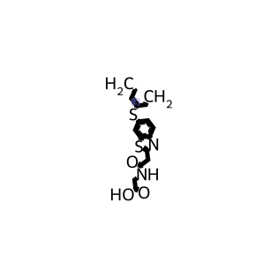 C=C/C=C(\C=C)Sc1ccc2nc(CC(=O)NCC(=O)O)sc2c1